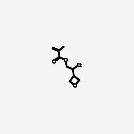 C=C(C)C(=O)OCC(CC)C1COC1